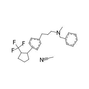 CC#N.CN(CCCc1ccc(C2CCCC2C(F)(F)F)cc1)Cc1ccccc1